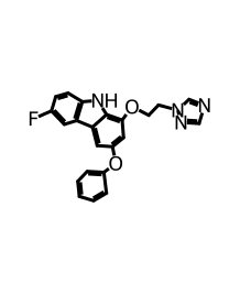 Fc1ccc2[nH]c3c(OCCn4cncn4)cc(Oc4ccccc4)cc3c2c1